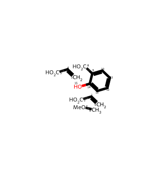 C=CC(=O)O.C=CC(=O)O.COC.O=C(O)c1ccccc1O